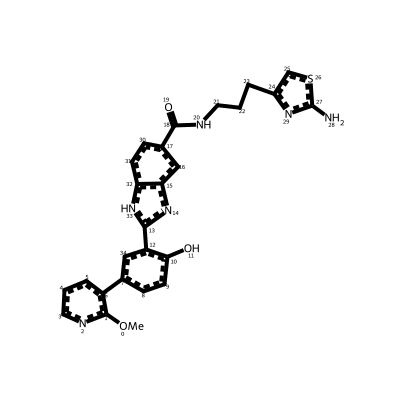 COc1ncccc1-c1ccc(O)c(-c2nc3cc(C(=O)NCCCc4csc(N)n4)ccc3[nH]2)c1